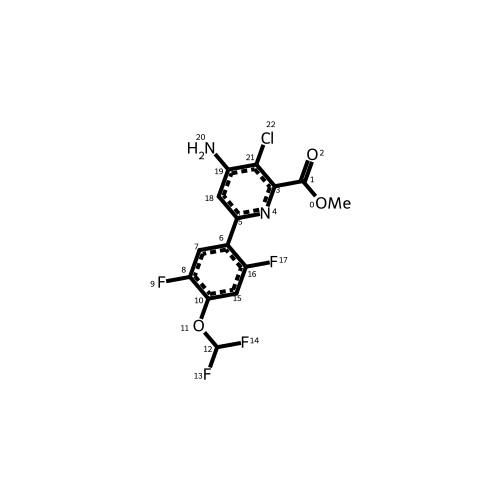 COC(=O)c1nc(-c2cc(F)c(OC(F)F)cc2F)cc(N)c1Cl